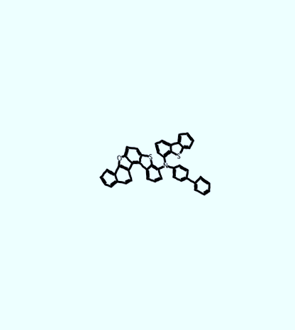 c1ccc(-c2ccc(N(c3cccc4c3sc3ccccc34)c3cccc4c3sc3ccc5oc6c7ccccc7ccc6c5c34)cc2)cc1